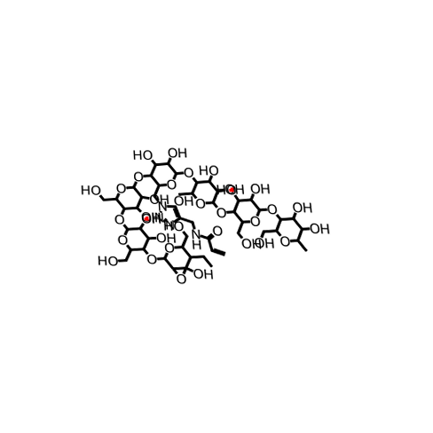 C=CC(=O)NCc1cn(CC2OC(OC3C(CO)OC(OC4C(CO)OC(OC5C(CO)OC(C)C(O)C5O)C(O)C4O)C(O)C3O)C(O)C(O)C2OC2OC(CO)C(OC3OC(CO)C(OC4OC(CO)C(CC)C5(O)OC45)C(O)C3O)C(O)C2O)nn1